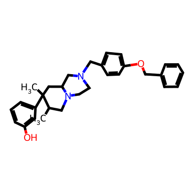 CC1CN2CCN(Cc3ccc(OCc4ccccc4)cc3)CC2CC1(C)c1cccc(O)c1